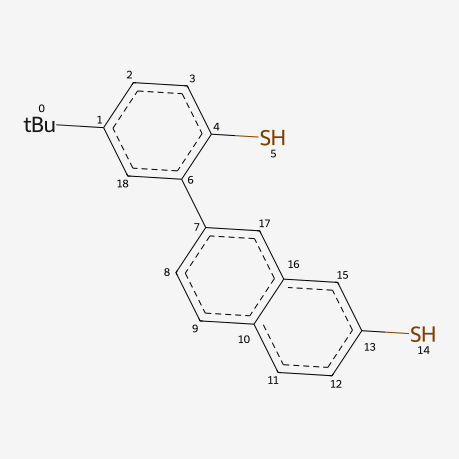 CC(C)(C)c1ccc(S)c(-c2ccc3ccc(S)cc3c2)c1